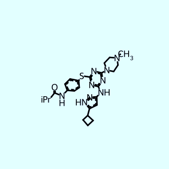 CC(C)C(=O)Nc1ccc(Sc2nc(Nc3cc(C4CCC4)[nH]n3)nc(N3CCN(C)CC3)n2)cc1